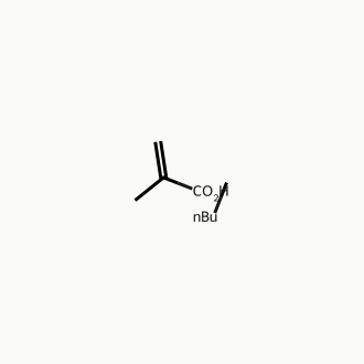 C=C(C)C(=O)O.CCCCC